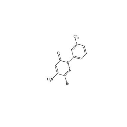 Nc1cc(=O)n(-c2cccc(C(F)(F)F)c2)nc1Br